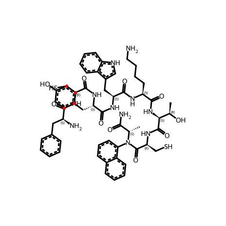 C[C@@H](O)[C@H](NC(=O)[C@H](CCCCN)NC(=O)[C@H](Cc1c[nH]c2ccccc12)NC(=O)[C@H](Cc1ccc(O)cc1)NC(=O)[C@H](CS)NC(=O)[C@@H](N)Cc1ccccc1)C(=O)N[C@@H](CS)C(=O)N(c1cccc2ccccc12)[C@@H](C)C(N)=O